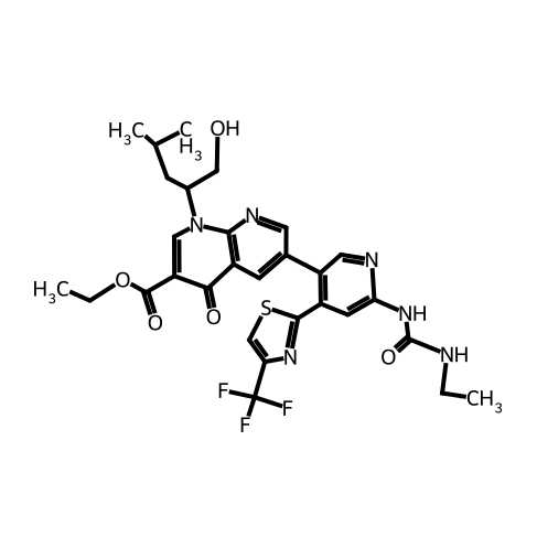 CCNC(=O)Nc1cc(-c2nc(C(F)(F)F)cs2)c(-c2cnc3c(c2)c(=O)c(C(=O)OCC)cn3C(CO)CC(C)C)cn1